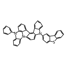 c1ccc(N2c3ccccc3-n3c4ccc5c(c6ccccc6n5-c5ccc6sc7ccccc7c6c5)c4c4cccc2c43)cc1